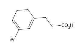 CC(C)C1=CCCC(CCC(=O)O)=C1